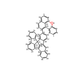 c1ccc2c(c1)Oc1cccc3ccc(-c4ccc5c(c4)C4(c6ccccc6-c6ccccc64)c4cc6ccccc6cc4-5)c-2c13